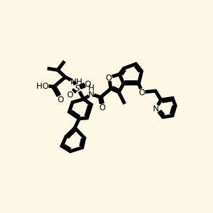 Cc1c(C(=O)NC2(S(=O)(=O)NC(C(=O)O)C(C)C)C=CC(c3ccccc3)=CC2)oc2cccc(OCc3ccccn3)c12